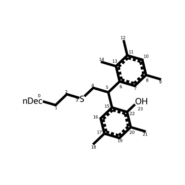 CCCCCCCCCCCCSCC(c1cc(C)cc(C)c1C)c1cc(C)cc(C)c1O